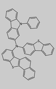 c1ccc(-n2c3ccccc3c3ccc(N(c4ccc5c(c4)sc4ccccc45)c4cccc5sc6c7ccccc7ccc6c45)cc32)cc1